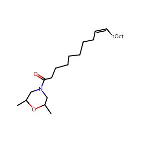 CCCCCCCC/C=C\CCCCCCCC(=O)N1CC(C)OC(C)C1